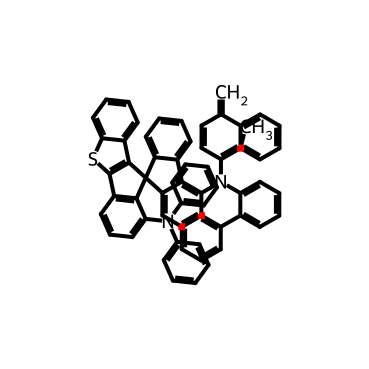 C=C(/C=C\C(=C/C)N(c1ccccc1-c1ccccc1)c1cccc2c1-c1ccccc1C21c2c(cccc2N(c2ccccc2)c2ccccc2)-c2sc3ccccc3c21)c1ccccc1